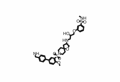 CNS(=O)(=O)c1cccc(OCC(O)CN[C@H]2COC3(CCN(S(=O)(=O)c4cc(-c5ccc(CN)cc5)ccc4OC)CC3)C2)c1